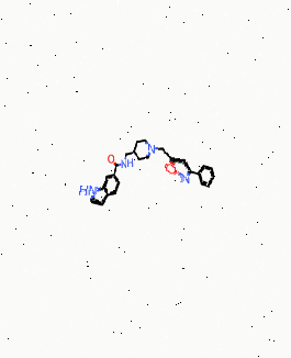 O=C(NCC1CCN(Cc2cc(-c3ccccc3)no2)CC1)c1ccc2cc[nH]c2c1